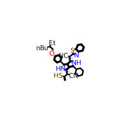 C=C(S)/C(C#N)=c1\[nH]c(-c2ccc(OCC(CC)CCCC)cc2)c2/c(=C(\C#N)c3nc4ccccc4s3)[nH]c(C3CCCCC3)c12